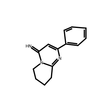 N=c1cc(-c2ccccc2)nc2n1CCCC2